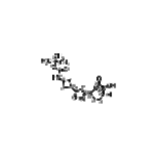 CC(C)(C)OC(=O)N[C@H]1C[C@@H](c2cc([C@@H]3CC[C@H]4CN3C(=O)N4O)no2)C1